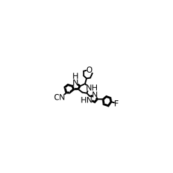 [C-]#[N+]c1ccc2[nH]c3c(c2c1)CC(c1nc(-c2ccc(F)cc2)c[nH]1)NC3C1CCOCC1